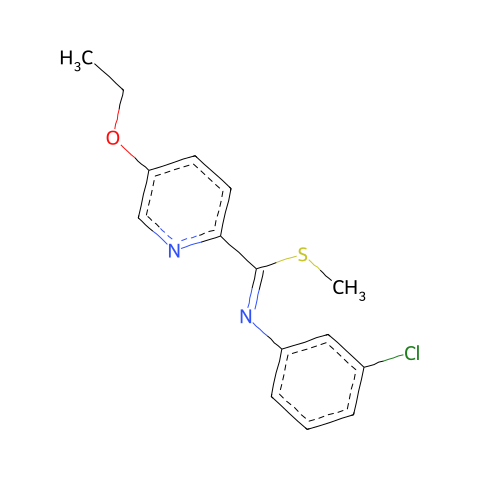 CCOc1ccc(C(=Nc2cccc(Cl)c2)SC)nc1